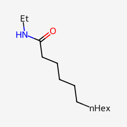 CCCCCCCCCCCC(=O)NCC